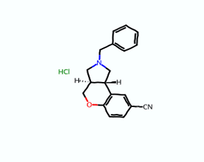 Cl.N#Cc1ccc2c(c1)[C@H]1CN(Cc3ccccc3)C[C@@H]1CO2